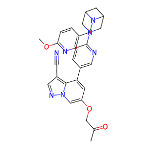 COc1ccc(CN2C3CC2CN(c2ccc(-c4cc(OCC(C)=O)cn5ncc(C#N)c45)cn2)C3)cn1